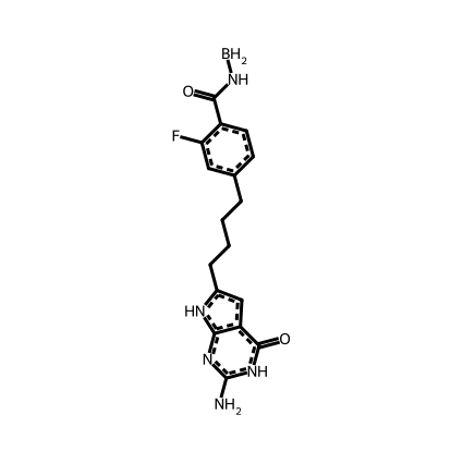 BNC(=O)c1ccc(CCCCc2cc3c(=O)[nH]c(N)nc3[nH]2)cc1F